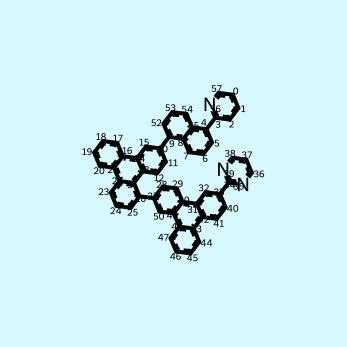 c1ccc(-c2cccc3c(-c4ccc5c(c4)c4ccccc4c4cccc(-c6ccc7c8cc(-c9ncccn9)ccc8c8ccccc8c7c6)c45)cccc23)nc1